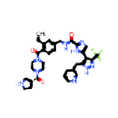 CCc1cc(CNC(=O)c2ncc(-c3c(C(F)(F)F)n[nH]c3Cc3cccnc3)[nH]2)ccc1C(=O)N1CCN(C(=O)[C@@H]2CCNC2)CC1